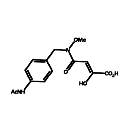 CON(Cc1ccc(NC(C)=O)cc1)C(=O)/C=C(\O)C(=O)O